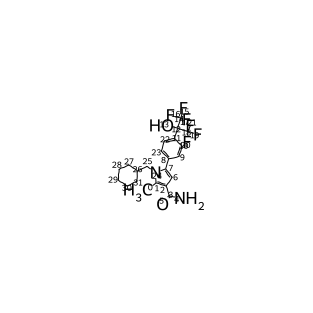 Cc1c(C(N)=O)cc(-c2ccc(C(O)(C(F)(F)F)C(F)(F)F)cc2)n1CC1CCCCC1